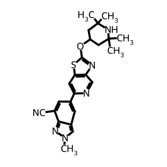 Cn1cc2cc(-c3cc4sc(OC5CC(C)(C)NC(C)(C)C5)nc4cn3)cc(C#N)c2n1